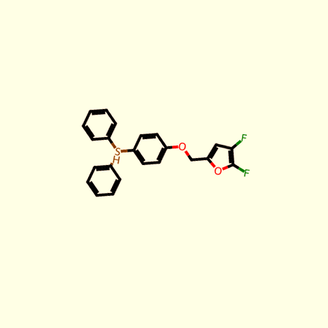 Fc1cc(COc2ccc([SH](c3ccccc3)c3ccccc3)cc2)oc1F